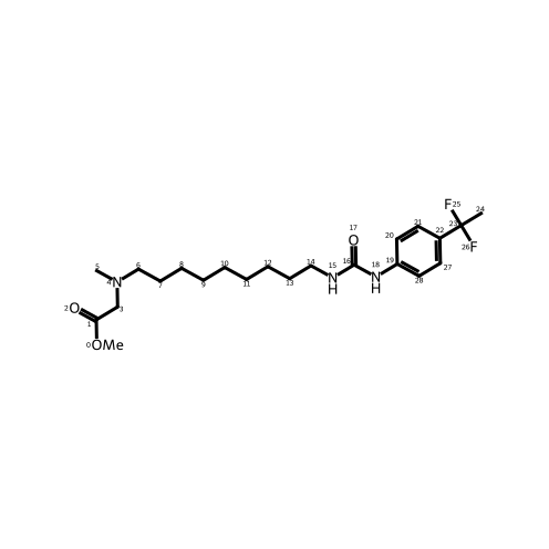 COC(=O)CN(C)CCCCCCCCCNC(=O)Nc1ccc(C(C)(F)F)cc1